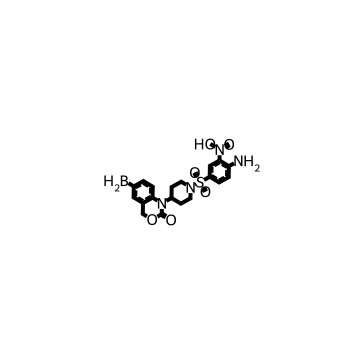 Bc1ccc2c(c1)COC(=O)N2C1CCN(S(=O)(=O)c2ccc(N)c([N+](=O)O)c2)CC1